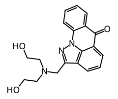 O=c1c2ccccc2n2nc(CN(CCO)CCO)c3cccc1c32